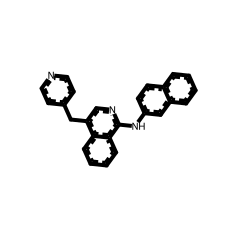 c1ccc2cc(Nc3ncc(Cc4ccncc4)c4ccccc34)ccc2c1